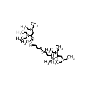 CCN(CC)CC(O[SiH](C)CCCSSCCC[SiH](C)OC(CN(CC)CC)N(CC)CC)N(CC)CC